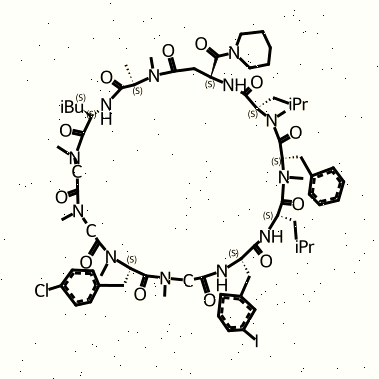 CC[C@H](C)[C@@H]1NC(=O)[C@H](C)N(C)C(=O)C[C@@H](C(=O)N2CCCCC2)NC(=O)[C@H](CC(C)C)N(C)C(=O)[C@H](Cc2ccccc2)N(C)C(=O)[C@H](CC(C)C)NC(=O)[C@H](Cc2cccc(I)c2)NC(=O)CN(C)C(=O)[C@H](Cc2ccc(Cl)cc2)N(C)C(=O)CN(C)C(=O)CN(C)C1=O